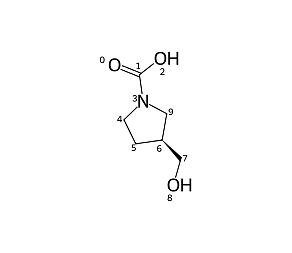 O=C(O)N1CC[C@H](CO)C1